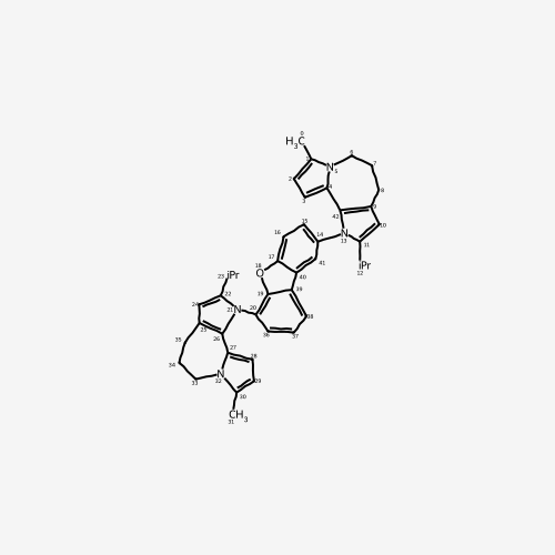 Cc1ccc2n1CCCc1cc(C(C)C)n(-c3ccc4oc5c(-n6c(C(C)C)cc7c6-c6ccc(C)n6CCC7)cccc5c4c3)c1-2